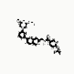 C[C@@H]1CN(c2cccc(-c3ccc4cnc(CNC(=O)c5ccc(OC(F)F)nc5)cc4n3)n2)C[C@H](C)O1